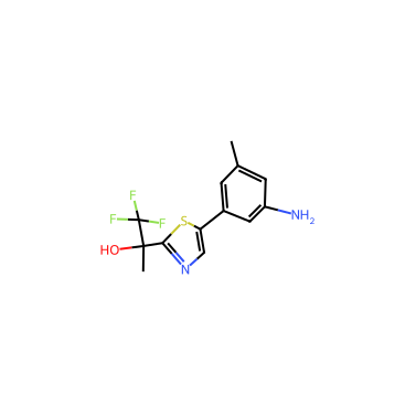 Cc1cc(N)cc(-c2cnc(C(C)(O)C(F)(F)F)s2)c1